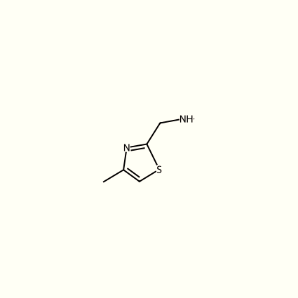 Cc1csc(C[NH])n1